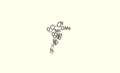 COc1cc(-c2ccc3c(c2NC(=O)NS(=O)(=O)c2ccn(C(C)(C)CN4CCC4)n2)CCO3)ccn1